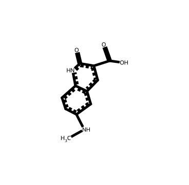 CNc1ccc2[nH]c(=O)c(C(=O)O)cc2c1